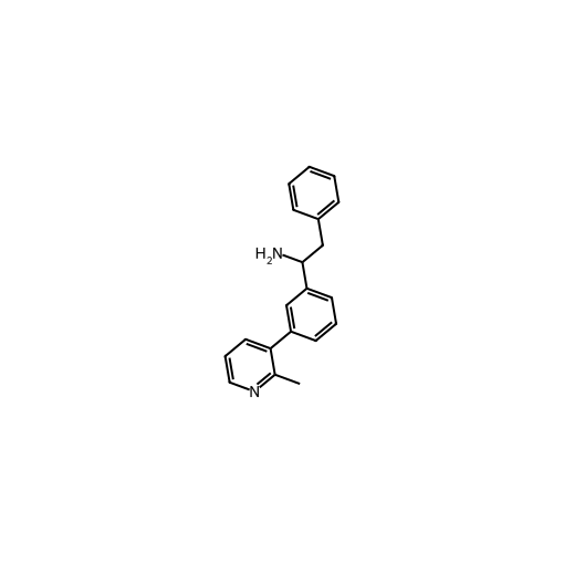 Cc1ncccc1-c1cccc(C(N)Cc2ccccc2)c1